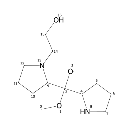 COC([O])(C1CCCN1)C1CCCN1CCO